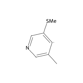 CSc1[c]c(C)cnc1